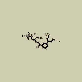 CCCC(CCC)c1cccc(C(O)CCC(CCS(=O)(=O)O)N(C)C)c1